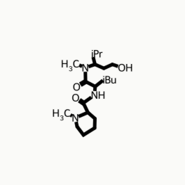 CCC(C)C(NC(=O)C1CCCCN1C)C(=O)N(C)C(CCO)C(C)C